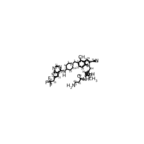 Cc1c(CN2CCC(Nc3ncnc4sc(CC(F)(F)F)cc34)CC2)ccc2c1cc(C#N)n2CC12CC(NC(=O)CCN)(C1)[C@H]2C